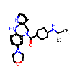 CC[C@H](NC1CCC(C(=O)N2Cc3cccnc3Nc3ccc(N4CCOCC4)cc32)CC1)C(F)(F)F